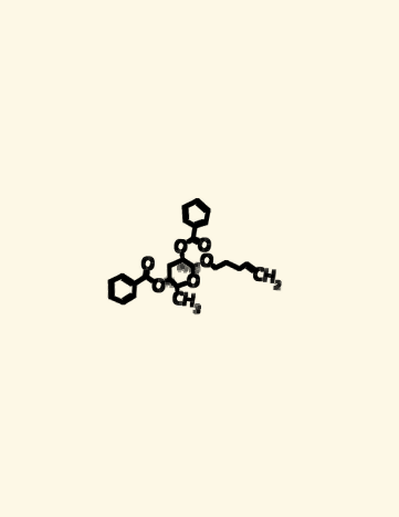 C=CCCCO[C@@H]1OC(C)[C@H](OC(=O)c2ccccc2)C[C@H]1OC(=O)c1ccccc1